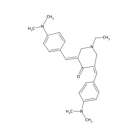 CCN1CC(=Cc2ccc(N(C)C)cc2)C(=O)C(=Cc2ccc(N(C)C)cc2)C1